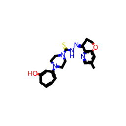 Cc1cnc2c(c1)OCC/C2=N/NC(=S)N1CCN(C2=CC=CCC(O)=C2)CC1